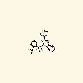 C[C@@H]1COCCN1c1nc(N2CCC2c2ccccc2C(F)(F)F)c2cccnc2n1